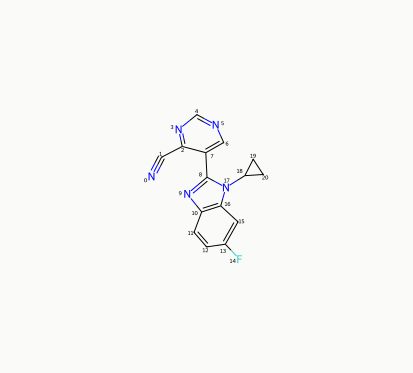 N#Cc1ncncc1-c1nc2ccc(F)cc2n1C1CC1